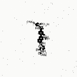 COC[C@H]1C[C@@H](c2ncc(-c3ccc4c(c3)COc3cc5c(ccc6nc([C@@H]7CC[C@H](C)N7C(=O)[C@@H](NC(=O)OC)C(C)C)[nH]c65)cc3-4)[nH]2)N(C(=O)O)C1.C[C](C)C